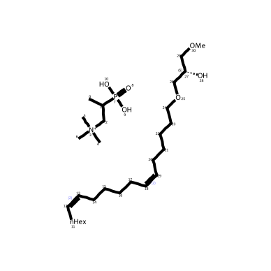 CC(C[N+](C)(C)C)P(=O)(O)O.CCCCCC/C=C\CCCC/C=C\CCCCCOC[C@@H](O)COC